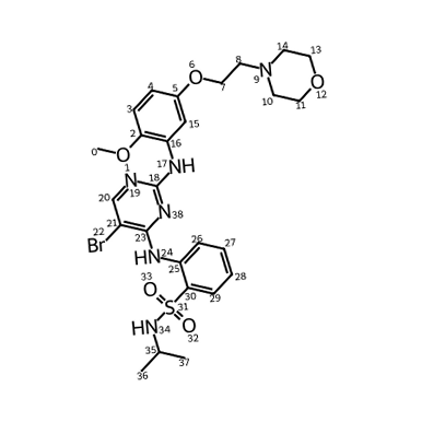 COc1ccc(OCCN2CCOCC2)cc1Nc1ncc(Br)c(Nc2ccccc2S(=O)(=O)NC(C)C)n1